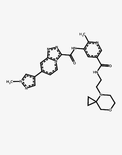 Cc1ncc(C(=O)NCCN2CCOCC23CC3)cc1NC(=O)c1nnc2cc(-c3cnn(C)c3)ccn12